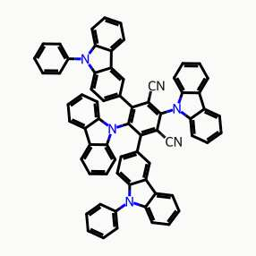 N#Cc1c(-c2ccc3c(c2)c2ccccc2n3-c2ccccc2)c(-n2c3ccccc3c3ccccc32)c(-c2ccc3c(c2)c2ccccc2n3-c2ccccc2)c(C#N)c1-n1c2ccccc2c2ccccc21